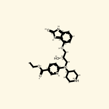 CCOC(=O)c1ccc(N(C[C@H](O)COc2cccc3c2=NC(=O)N=3)C2CCNCC2)nc1